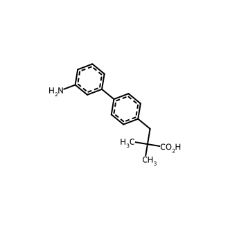 CC(C)(Cc1ccc(-c2cccc(N)c2)cc1)C(=O)O